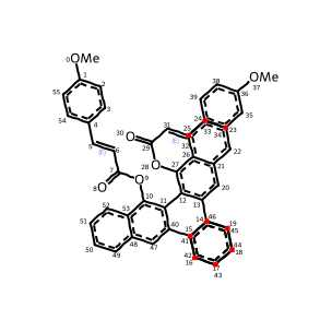 COc1ccc(/C=C/C(=O)Oc2c(-c3c(-c4ccccc4)cc4ccccc4c3OC(=O)/C=C/c3ccc(OC)cc3)c(-c3ccccc3)cc3ccccc23)cc1